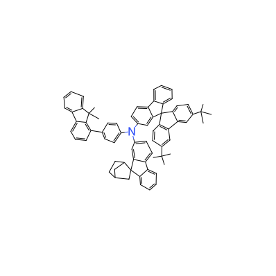 CC(C)(C)c1ccc2c(c1)-c1cc(C(C)(C)C)ccc1C21c2ccccc2-c2ccc(N(c3ccc(-c4cccc5c4C(C)(C)c4ccccc4-5)cc3)c3ccc4c(c3)C3(CC5CCC3C5)c3ccccc3-4)cc21